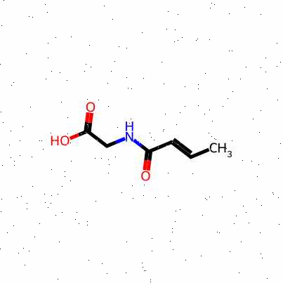 CC=CC(=O)NCC(=O)O